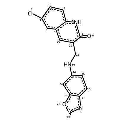 O=c1[nH]c2ccc(Cl)cc2cc1CNc1ccc2nnoc2c1